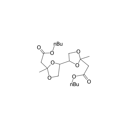 CCCCOC(=O)CC1(C)OCC(C2COC(C)(CC(=O)OCCCC)O2)O1